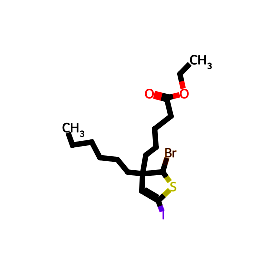 CCCCCCC1(CCCCC(=O)OCC)C=C(I)SC1Br